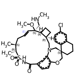 CNC[C@@]1(OC)/C=C/C[C@H](C)[C@@H](C)S(=O)(=O)NC(=O)c2ccc3c(c2)N(C[C@@H]2CC[C@H]21)C[C@@]1(CCCc2cc(Cl)ccc21)CO3